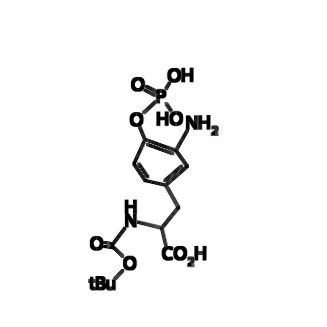 CC(C)(C)OC(=O)NC(Cc1ccc(OP(=O)(O)O)c(N)c1)C(=O)O